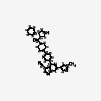 Cn1cc(-c2cn3ncc(C#N)c3c(-c3ccc(N4CCN(C(=O)[C@@H]5CNC[C@H]5c5ccccc5)CC4)nc3)n2)cn1